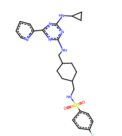 O=S(=O)(NCC1CCC(CNc2nc(NC3CC3)nc(-c3ccccn3)n2)CC1)c1ccc(F)cc1